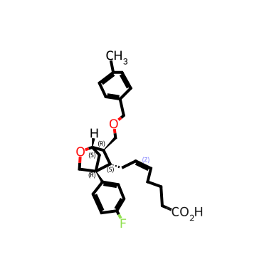 Cc1ccc(COC[C@@H]2[C@@H]3C[C@@](c4ccc(F)cc4)(CO3)[C@H]2C/C=C\CCCC(=O)O)cc1